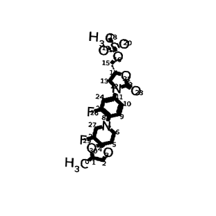 CC1COC2(CCN(c3ccc(N4C[C@H](COS(C)(=O)=O)OC4=O)cc3F)CC2F)O1